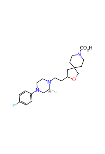 C[C@@H]1CN(c2ccc(F)cc2)CCN1CCC1CC2(CCN(C(=O)O)CC2)CO1